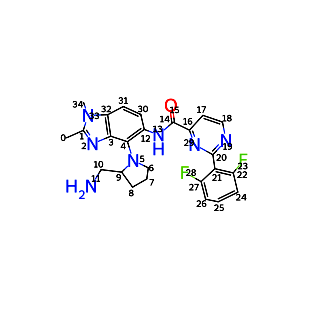 Cc1nc2c(N3CCCC3CN)c(NC(=O)c3ccnc(-c4c(F)cccc4F)n3)ccc2n1C